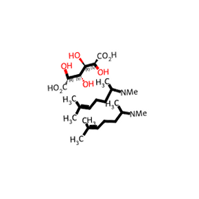 CNC(C)CCC=C(C)C.CNC(C)CCC=C(C)C.O=C(O)[C@@H](O)[C@H](O)[C@H](O)[C@@H](O)C(=O)O